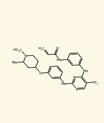 C=CC(=O)Nc1cccc(Nc2nc(Nc3cccc(OC4CCN(C(=O)O)C(C(C)(C)C)C4)c3)ncc2C(F)(F)F)c1